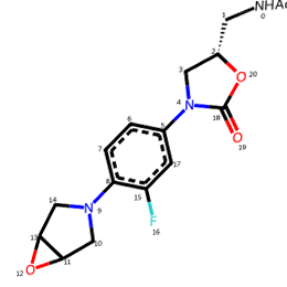 CC(=O)NC[C@H]1CN(c2ccc(N3CC4OC4C3)c(F)c2)C(=O)O1